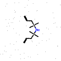 C=CC[Si](C)(C)N[Si](C)(C)CC=C